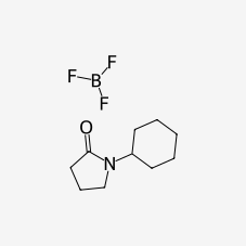 FB(F)F.O=C1CCCN1C1CCCCC1